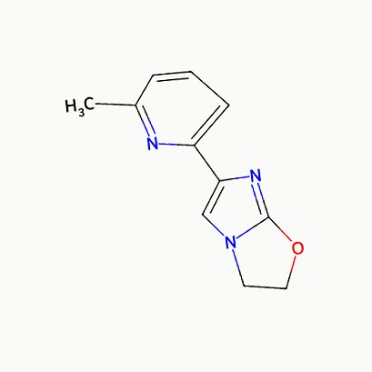 Cc1cccc(-c2cn3c(n2)OCC3)n1